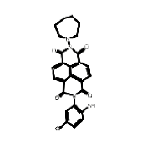 O=C1c2ccc3c4c(ccc(c24)C(=O)N1c1cc(Cl)ccc1S)C(=O)N(N1CCCCCC1)C3=O